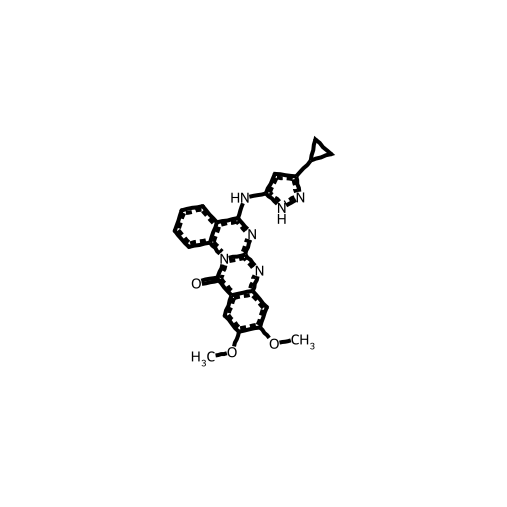 COc1cc2nc3nc(Nc4cc(C5CC5)n[nH]4)c4ccccc4n3c(=O)c2cc1OC